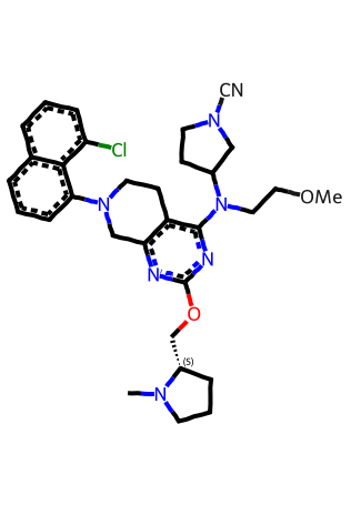 COCCN(c1nc(OC[C@@H]2CCCN2C)nc2c1CCN(c1cccc3cccc(Cl)c13)C2)C1CCN(C#N)C1